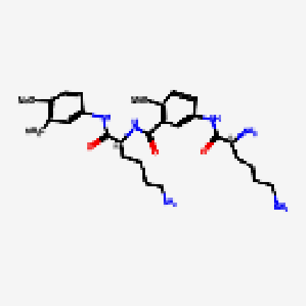 COc1ccc(NC(=O)[C@H](CCCCN)NC(=O)c2cc(NC(=O)[C@@H](N)CCCCN)ccc2OC)cc1C(=O)O